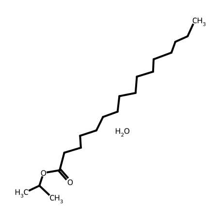 CCCCCCCCCCCCCCCC(=O)OC(C)C.O